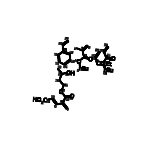 C=C(C)C(=O)OCCCC.C=C(C=CC(=O)O)C(=O)OCCC(C)O.C=CC(=O)OCC.C=CC(=O)OCCCC.C=Cc1ccccc1